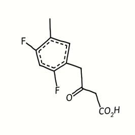 Cc1cc(CC(=O)CC(=O)O)c(F)cc1F